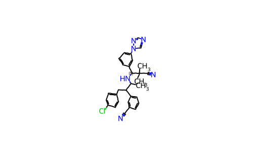 CC(N[C@@H](c1cccc(-n2cncn2)c1)C(C)(C)C#N)C(Cc1ccc(Cl)cc1)c1cccc(C#N)c1